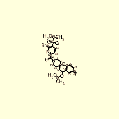 CC(C)OC1CC2(CCN(C(=O)c3ccc(S(=O)(=O)C(C)C)c(Br)n3)CC2)Oc2ccc(F)cc21